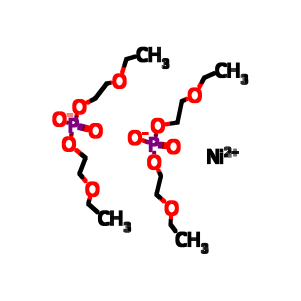 CCOCCOP(=O)([O-])OCCOCC.CCOCCOP(=O)([O-])OCCOCC.[Ni+2]